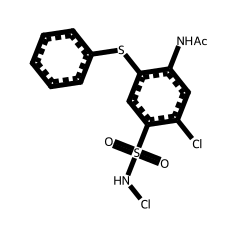 CC(=O)Nc1cc(Cl)c(S(=O)(=O)NCl)cc1Sc1ccccc1